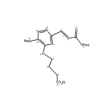 CCCCCC(=O)/C=C/c1cc(OCCCC(=O)OCC)c(OC)cn1